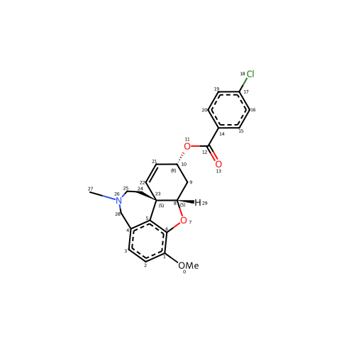 COc1ccc2c3c1O[C@H]1C[C@@H](OC(=O)c4ccc(Cl)cc4)C=C[C@@]31CCN(C)C2